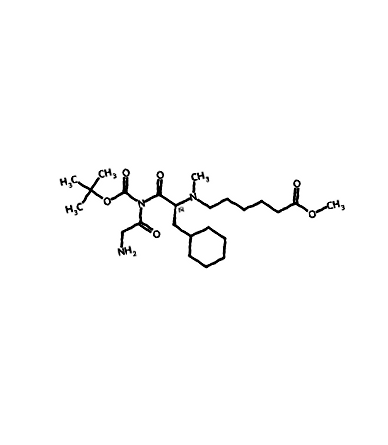 COC(=O)CCCCCN(C)[C@@H](CC1CCCCC1)C(=O)N(C(=O)CN)C(=O)OC(C)(C)C